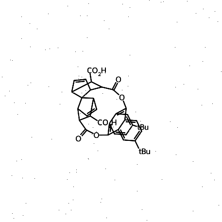 CC(C)(C)c1ccc2c3c4cc(C(C)(C)C)ccc4c(c2c1)OC(=O)C1C(C(=O)O)C2C=CC1C21C2C=CC1C(C(=O)O3)C2C(=O)O